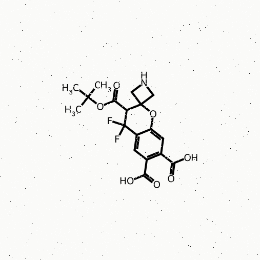 CC(C)(C)OC(=O)C1C2(CNC2)Oc2cc(C(=O)O)c(C(=O)O)cc2C1(F)F